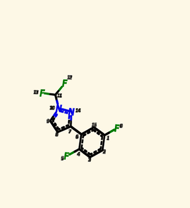 Fc1ccc(F)c(-c2ccn(C(F)F)n2)c1